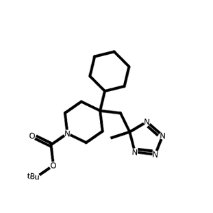 CC1(CC2(C3CCCCC3)CCN(C(=O)OC(C)(C)C)CC2)N=NN=N1